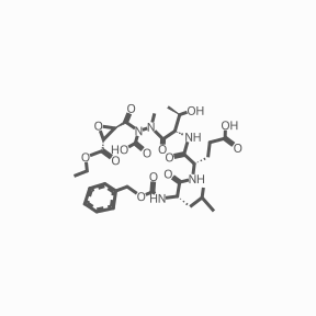 CCOC(=O)[C@@H]1O[C@H]1C(=O)N(C(=O)O)N(C)C(=O)[C@@H](NC(=O)[C@H](CCC(=O)O)NC(=O)[C@H](CC(C)C)NC(=O)OCc1ccccc1)[C@@H](C)O